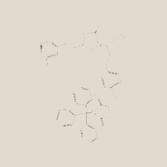 CCCC(COc1ccc(CC2SC(=O)N(C(c3ccccc3)(c3ccccc3)c3ccccc3)C2=O)cc1)N1CC(COc2cccc(Cl)c2)OC1=O